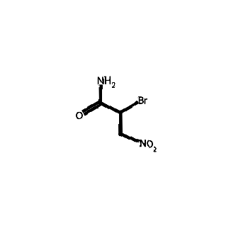 NC(=O)C(Br)C[N+](=O)[O-]